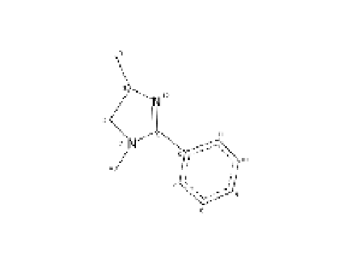 CC1CN(C)C(c2ccccc2)=N1